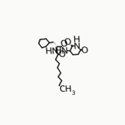 CCCCCCCCC(=O)N[C@H](CC1CCCCC1)C(=O)NC1CCC(=O)NC1=O